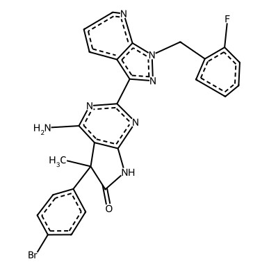 CC1(c2ccc(Br)cc2)C(=O)Nc2nc(-c3nn(Cc4ccccc4F)c4ncccc34)nc(N)c21